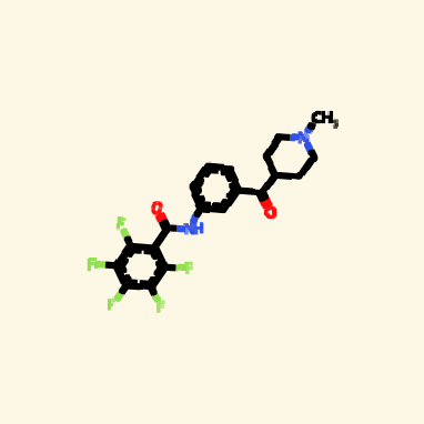 CN1CCC(C(=O)c2cccc(NC(=O)c3c(F)c(F)c(F)c(F)c3F)c2)CC1